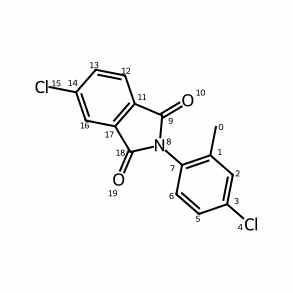 Cc1cc(Cl)ccc1N1C(=O)c2ccc(Cl)cc2C1=O